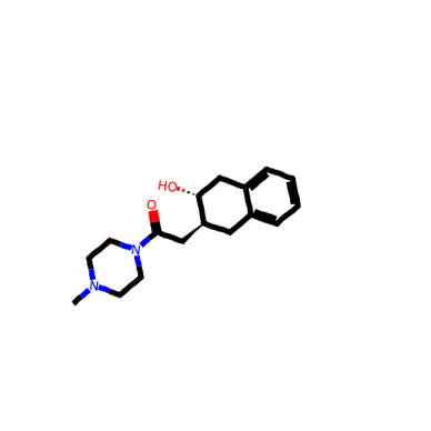 CN1CCN(C(=O)C[C@@H]2Cc3ccccc3C[C@H]2O)CC1